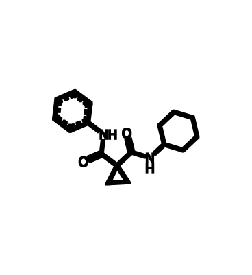 O=C(Nc1ccccc1)C1(C(=O)NC2CCCCC2)CC1